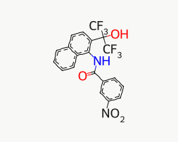 O=C(Nc1c(C(O)(C(F)(F)F)C(F)(F)F)ccc2ccccc12)c1cccc([N+](=O)[O-])c1